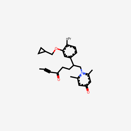 CC#CC(=O)CCC(Cn1c(C)cc(=O)cc1C)c1ccc(CCC)c(OCC2CC2)c1